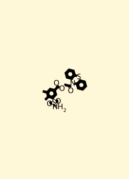 Cc1cc(C(=O)OCC(=O)N2c3ccccc3Sc3ccccc32)cc(S(N)(=O)=O)c1C